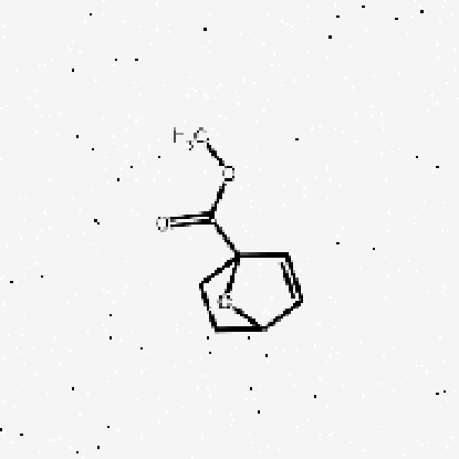 COC(=O)C12C=CC(CC1)O2